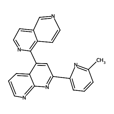 Cc1cccc(-c2cc(-c3nccc4cnccc34)c3cccnc3n2)n1